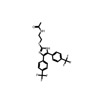 CC(=O)NCCSc1nc(-c2ccc(C(F)(F)F)cc2)c(-c2ccc(C(F)(F)F)cc2)[nH]1